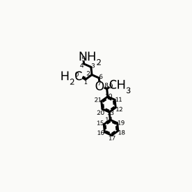 C=CC(CCN)COC(C)c1ccc(-c2ccccc2)cc1